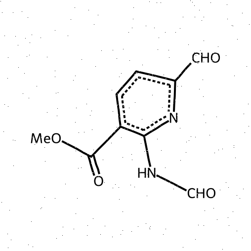 COC(=O)c1ccc(C=O)nc1NC=O